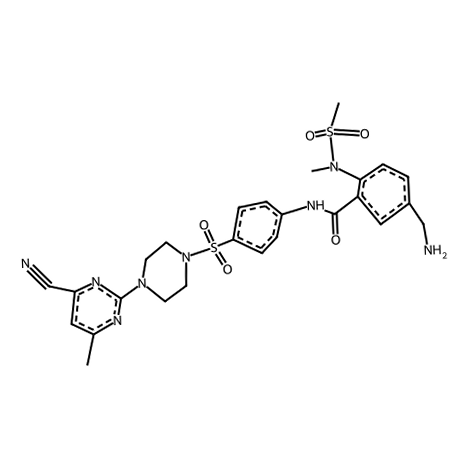 Cc1cc(C#N)nc(N2CCN(S(=O)(=O)c3ccc(NC(=O)c4cc(CN)ccc4N(C)S(C)(=O)=O)cc3)CC2)n1